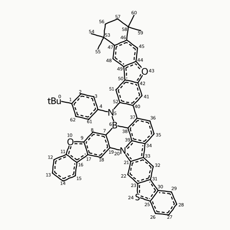 CC(C)(C)c1ccc(N2B3c4cc5oc6ccccc6c5cc4-n4c5cc6sc7ccccc7c6cc5c5ccc(c3c54)-c3cc4oc5cc6c(cc5c4cc32)C(C)(C)CCC6(C)C)cc1